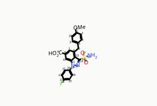 COc1ccc(Cc2cc(C(=O)O)cc3c2c(S(N)(=O)=O)nn3-c2ccc(F)cc2)cc1